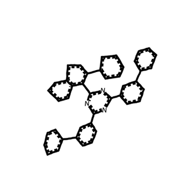 c1ccc(-c2cccc(-c3nc(-c4cccc(-c5ccccc5)c4)nc(-c4c(-c5ccccc5)ccc5ccccc45)n3)c2)cc1